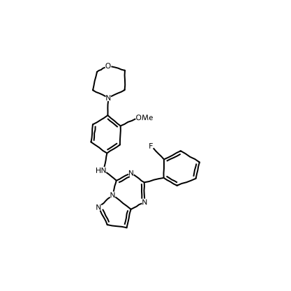 COc1cc(Nc2nc(-c3ccccc3F)nc3ccnn23)ccc1N1CCOCC1